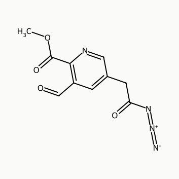 COC(=O)c1ncc(CC(=O)N=[N+]=[N-])cc1C=O